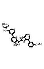 COc1cccc(-c2cncc3[nH]c(-c4n[nH]c5ccc(-c6cncc(NC(=O)CC(C)(C)C)c6)nc45)nc23)c1